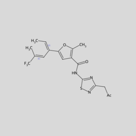 C/C=C(\C=C(/C)C(F)(F)F)c1cc(C(=O)Nc2nc(CC(C)=O)ns2)c(C)o1